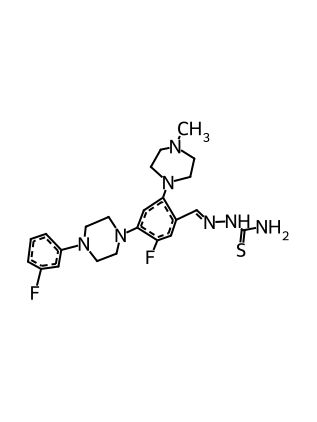 CN1CCN(c2cc(N3CCN(c4cccc(F)c4)CC3)c(F)cc2C=NNC(N)=S)CC1